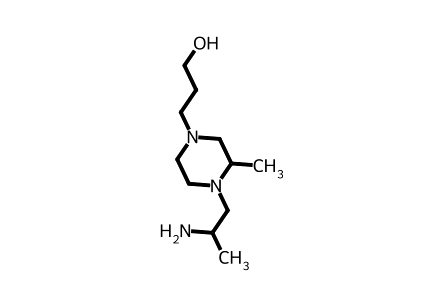 CC(N)CN1CCN(CCCO)CC1C